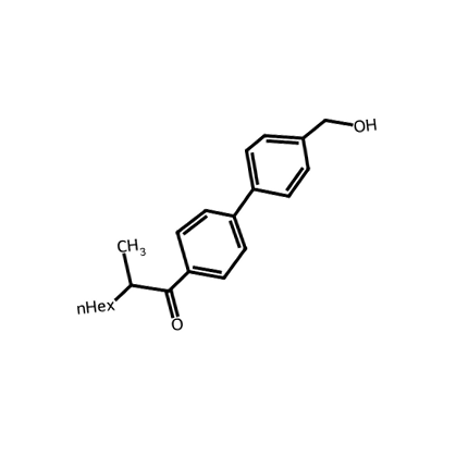 CCCCCCC(C)C(=O)c1ccc(-c2ccc(CO)cc2)cc1